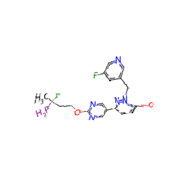 CC(F)(P)CCOc1ncc(-c2ccc(=O)n(Cc3cncc(F)c3)n2)cn1